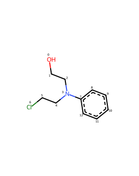 OCCN(CCCl)c1ccccc1